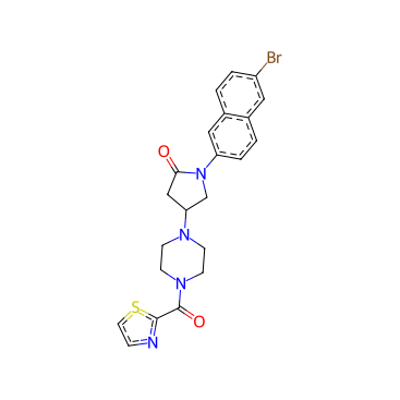 O=C(c1nccs1)N1CCN(C2CC(=O)N(c3ccc4cc(Br)ccc4c3)C2)CC1